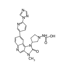 Cn1c(=O)n(C2CCN(NC(=O)O)C2)c2c3cc(-c4ccc(-n5cncn5)nc4)ccc3ncc21